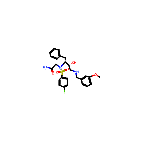 COc1cccc(CNC[C@@H](O)[C@H](Cc2ccccc2)N(CC(N)=O)S(=O)(=O)c2ccc(F)cc2)c1